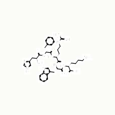 N=C(N)NCCC[C@H](NC(=O)[C@@H](Cc1ccccc1)NC(=O)[C@@H](N)Cc1c[nH]cn1)C(=O)N[C@@H](Cc1c[nH]c2ccccc12)C(=O)N[C@@H](CCCCN)C(=O)O